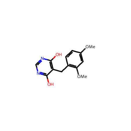 COc1ccc(Cc2c(O)ncnc2O)c(OC)c1